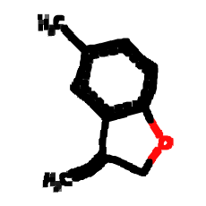 C=C1COc2ccc(C)cc21